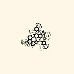 Cc1cc2c(c(C)c1N1c3cc(C(C)(C)C)cc4c3B(c3c1sc1ccc(C(C)(C)C)cc31)c1c(sc3ccc(C(C)(C)C)cc13)N4c1c(C)cc3c(c1C)OCCO3)OCCO2